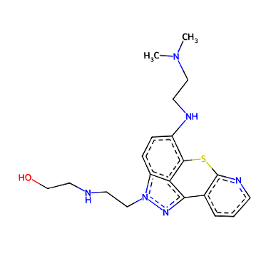 CN(C)CCNc1ccc2c3c(nn2CCNCCO)-c2cccnc2Sc13